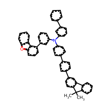 CC1(C)c2ccccc2-c2cc(-c3ccc(-c4ccc(N(c5cccc(-c6ccccc6)c5)c5cccc(-c6cccc7oc8ccccc8c67)c5)cc4)cc3)ccc21